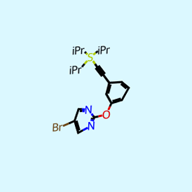 CC(C)S(C#Cc1cccc(Oc2ncc(Br)cn2)c1)(C(C)C)C(C)C